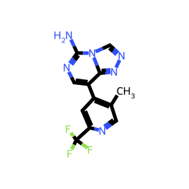 Cc1cnc(C(F)(F)F)cc1-c1cnc(N)n2cnnc12